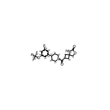 O=C1NC2(CO1)CC(C(=O)N1CCC(c3cc(F)cc(OC(F)(F)F)c3)CC1)C2